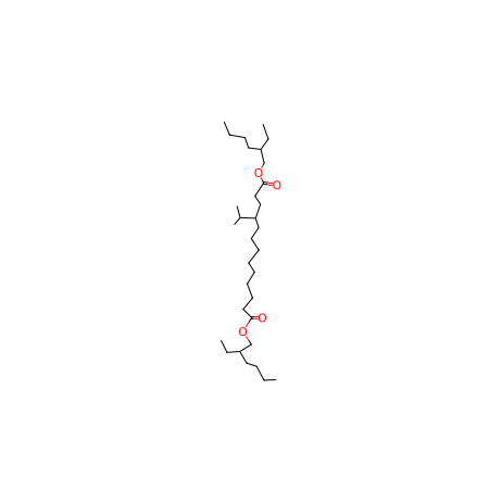 CCCCC(CC)COC(=O)CCCCCCCCC(CCC(=O)OCC(CC)CCCC)C(C)C